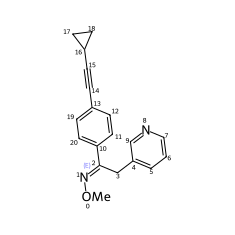 CO/N=C(\Cc1cccnc1)c1ccc(C#CC2CC2)cc1